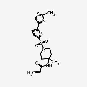 C=CC(=O)NC1(C)CCN(S(=O)(=O)c2ccc(-c3csc(C)n3)s2)CC1